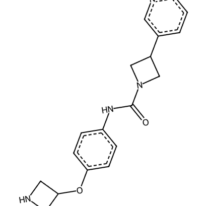 O=C(Nc1ccc(OC2CNC2)cc1)N1CC(c2cccnc2)C1